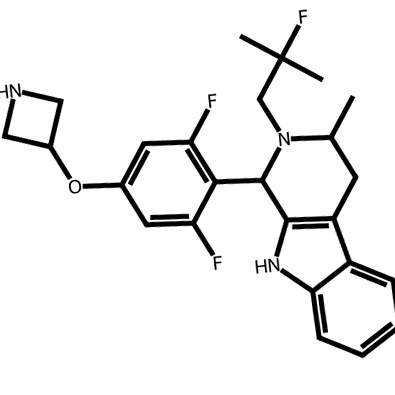 CC1Cc2c([nH]c3ccccc23)C(c2c(F)cc(OC3CNC3)cc2F)N1CC(C)(C)F